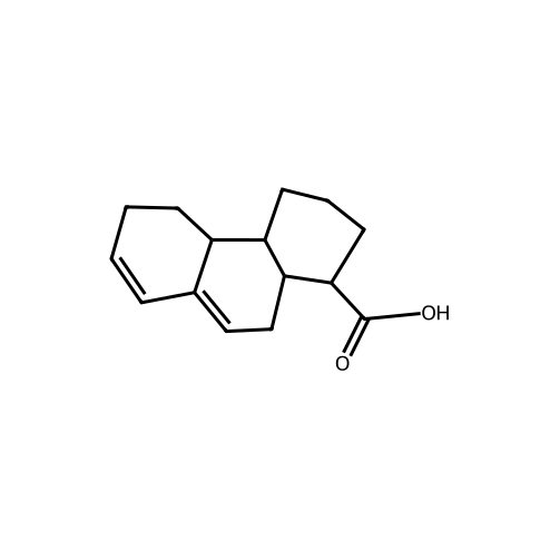 O=C(O)C1CCCC2C3CCC=CC3=CCC12